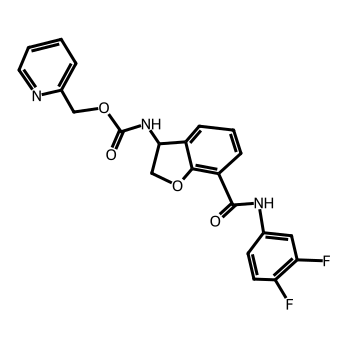 O=C(NC1COc2c(C(=O)Nc3ccc(F)c(F)c3)cccc21)OCc1ccccn1